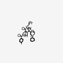 Cc1ccc(C(=O)NC[C@H](NC(=O)C2=CN(c3ccccc3)CC=N2)C(=O)N[CH]CC(C)C)cc1